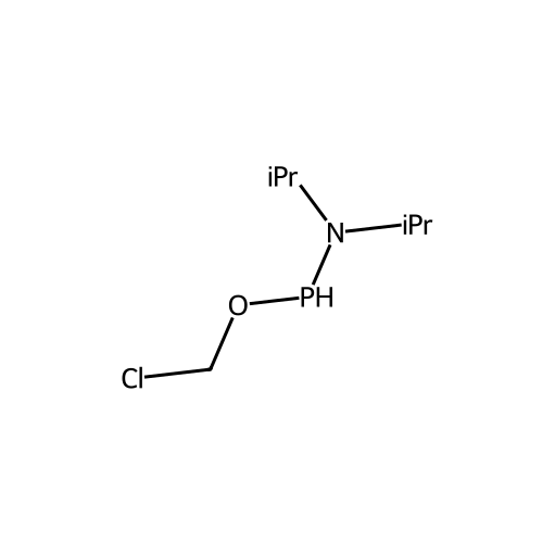 CC(C)N(POCCl)C(C)C